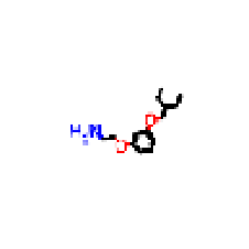 CCC(CC)COc1cccc(OCCN)c1